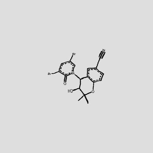 CC1(C)Oc2ccc(C#N)cc2C(n2cc(Br)cc(Br)c2=O)C1O